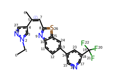 CCn1cc(/C(C)=C\c2nc3ccc(-c4cncc(C(F)(F)F)c4)cc3s2)cn1